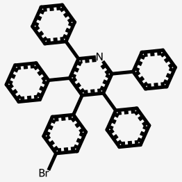 Brc1ccc(-c2c(-c3ccccc3)c(-c3ccccc3)nc(-c3ccccc3)c2-c2ccccc2)cc1